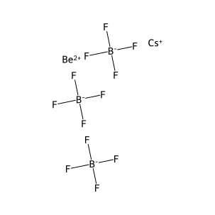 F[B-](F)(F)F.F[B-](F)(F)F.F[B-](F)(F)F.[Be+2].[Cs+]